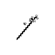 CCCCCCCCCCCCCCCCCC(=O)N[C@@H](CCC(=O)[O-])C(=O)[O-].[K+].[K+]